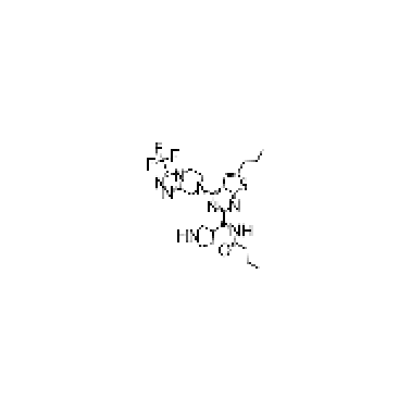 CCCC(=O)N[C@@H](c1nc(N2CCn3c(nnc3C(F)(F)F)C2)c2cc(CCC)sc2n1)C1CCNC1